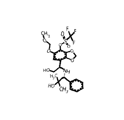 COCOc1cc(C(CO)N[C@H](c2ccccc2)C(C)(C)O)c2c(c1OS(=O)(=O)C(F)(F)F)OCO2